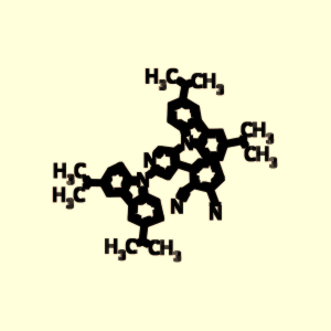 CC(C)c1ccc2c(c1)c1cc(C(C)C)ccc1n2-c1cc(-c2cccc(C#N)c2C#N)c(-n2c3ccc(C(C)C)cc3c3cc(C(C)C)ccc32)cn1